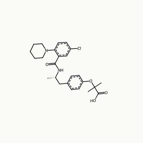 C[C@@H](Cc1ccc(OC(C)(C)C(=O)O)cc1)NC(=O)c1cc(Cl)ccc1N1CCCCC1